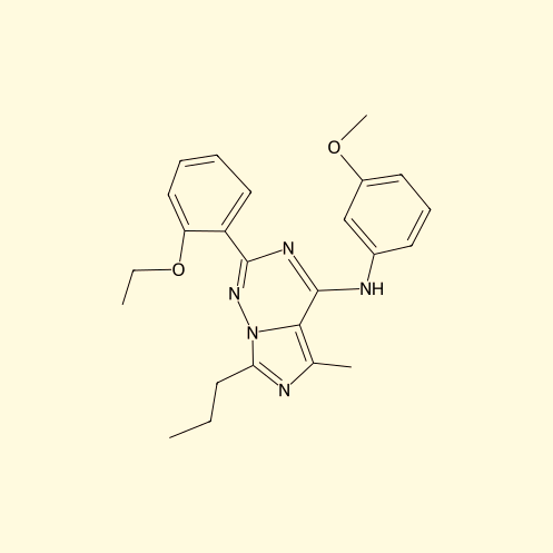 CCCc1nc(C)c2c(Nc3cccc(OC)c3)nc(-c3ccccc3OCC)nn12